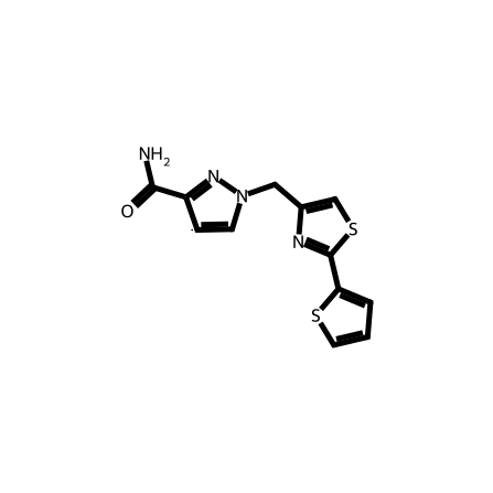 NC(=O)c1[c]cn(Cc2csc(-c3cccs3)n2)n1